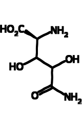 NC(=O)C(O)C(O)[C@H](N)C(=O)O